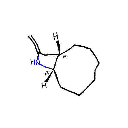 C=C1N[C@H]2CCCCCC[C@@H]12